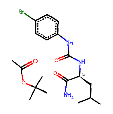 CC(=O)OC(C)(C)C.CC(C)C[C@H](NC(=O)Nc1ccc(Br)cc1)C(N)=O